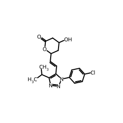 CC(C)c1nnn(-c2ccc(Cl)cc2)c1C=CC1CC(O)CC(=O)O1